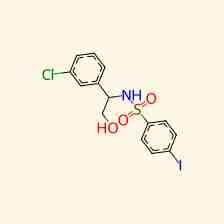 O=S(=O)(NC(CO)c1cccc(Cl)c1)c1ccc(I)cc1